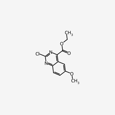 CCOC(=O)c1nc(Cl)nc2ccc(OC)cc12